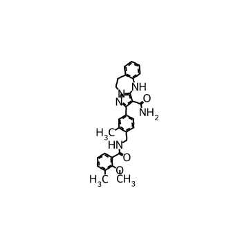 COc1c(C)cccc1C(=O)NCc1ccc(-c2nn3c(c2C(N)=O)Nc2ccccc2CC3)cc1C